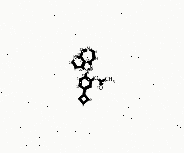 CC(=O)Oc1cc(C2CCC2)ccc1-n1nc2c3c(nccc31)C=NC=C2